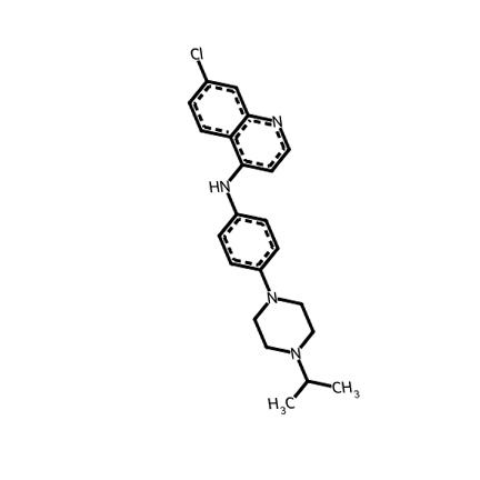 CC(C)N1CCN(c2ccc(Nc3ccnc4cc(Cl)ccc34)cc2)CC1